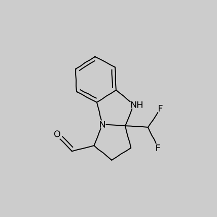 O=CC1CCC2(C(F)F)Nc3ccccc3N12